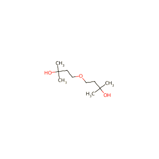 CC(C)(O)CCOCCC(C)(C)O